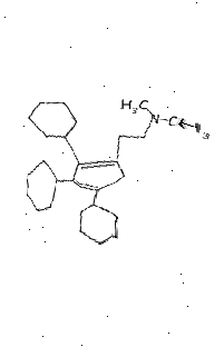 CN(C)CCC1=C(C2CCCCC2)C(C2CCCCC2)=C(C2CCCCC2)C1